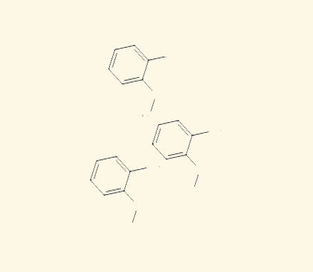 CCCCOc1ccccc1C(=O)[O-].CCCCOc1ccccc1C(=O)[O-].CCCCOc1ccccc1C(=O)[O-].[Cr+3]